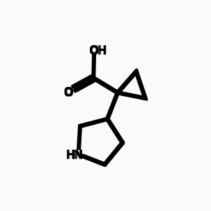 O=C(O)C1(C2CCNC2)CC1